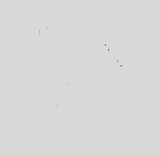 COC(=O)c1c(Br)c(F)cc2nn(C)cc12